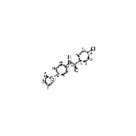 Cc1nccn1-c1ccc(NC(=O)c2ccc(Cl)cc2)cc1